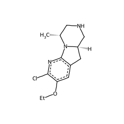 CCOc1cc2c(nc1Cl)N1[C@@H](CNC[C@H]1C)C2